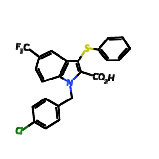 O=C(O)c1c(Sc2ccccc2)c2cc(C(F)(F)F)ccc2n1Cc1ccc(Cl)cc1